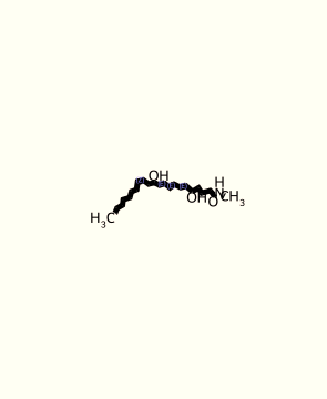 CCCCCCCC/C=C\CC(O)/C=C/C=C/C=C/C(O)CCCC(=O)NC